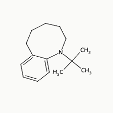 CC(C)(C)N1CCCCCc2ccccc21